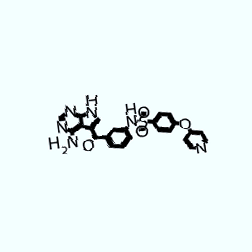 Nc1ncnc2[nH]cc(C(=O)c3cccc(NS(=O)(=O)c4ccc(Oc5ccncc5)cc4)c3)c12